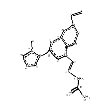 C=Cc1ccc2c(/C=N/NC(N)=O)cc(-c3cncn3C)nc2c1